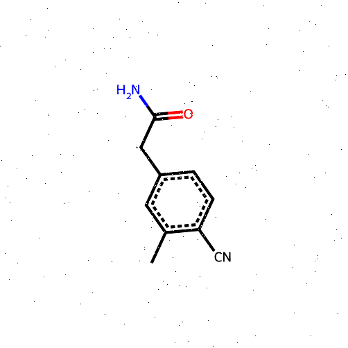 Cc1cc([CH]C(N)=O)ccc1C#N